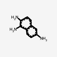 Nc1ccc2c(N)c(N)ccc2c1